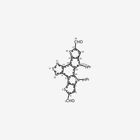 CCCn1c2cc(C=O)sc2c2c3nsnc3c3c4sc(C=O)cc4n(CCC)c3c21